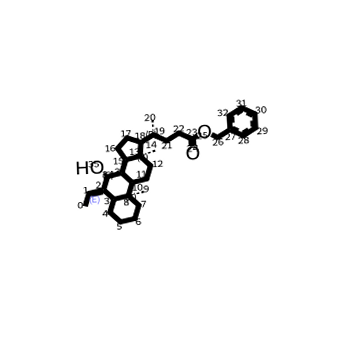 C/C=C1\C2CCCC[C@]2(C)C2CC[C@@]3(C)C(CCC3[C@H](C)CCC(=O)OCc3ccccc3)C2[C@@H]1O